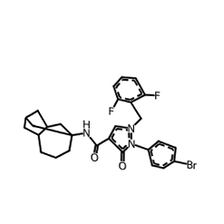 O=C(NC12CCCC3CC(CC3C1)C2)c1cn(Cc2c(F)cccc2F)n(-c2ccc(Br)cc2)c1=O